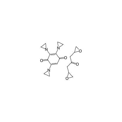 O=C(CC1CO1)CC1CO1.O=C1C=C(N2CC2)C(=O)C(N2CC2)=C1N1CC1